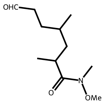 CON(C)C(=O)C(C)CC(C)CCC=O